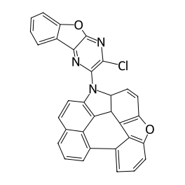 Clc1nc2oc3ccccc3c2nc1N1c2ccc3cccc4c3c2C2c3c(oc5cccc-4c35)C=CC21